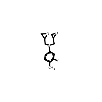 Cc1ccc(N(CC2CO2)CC2CO2)cc1Cl